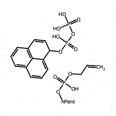 C=CCOP(=O)(O)OCCCCC.O=P(O)(O)OP(=O)(O)OC1C=Cc2cccc3cccc1c23